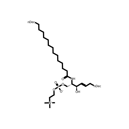 CCCCCCCCCCC/C=C/[C@@H](O)[C@H](COP(=O)([O-])OCC[N+](C)(C)C)NC(=O)CCCCCCCCCCCCCCCCCCCCCCC